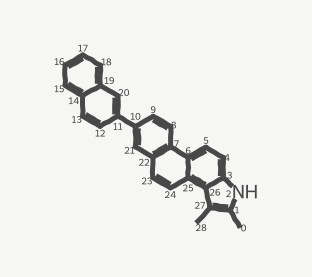 Cc1[nH]c2ccc3c4ccc(-c5ccc6ccccc6c5)cc4ccc3c2c1C